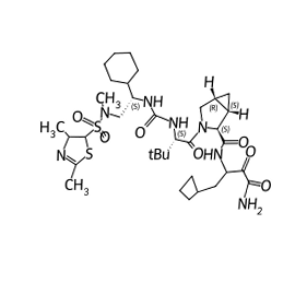 CC1=NC(C)C(S(=O)(=O)N(C)C[C@@H](NC(=O)N[C@H](C(=O)N2C[C@@H]3C[C@@H]3[C@H]2C(=O)NC(CC2CCC2)C(=O)C(N)=O)C(C)(C)C)C2CCCCC2)S1